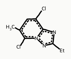 CCc1nc2c(Cl)cc(C)c(Cl)n2n1